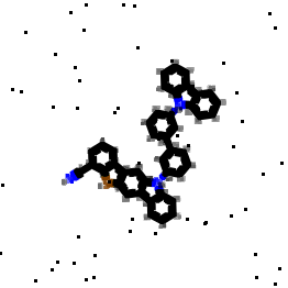 N#Cc1cccc2c1sc1cc3c4ccccc4n(-c4cccc(-c5cccc(-n6c7ccccc7c7ccccc76)c5)c4)c3cc12